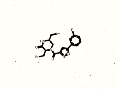 CC(C)CC1CN(C(=O)c2cc(-c3cccc(F)c3)on2)C(CC(C)C)C(=O)N1